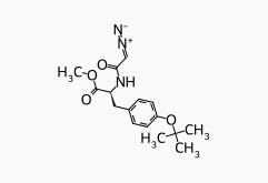 COC(=O)[C@H](Cc1ccc(OC(C)(C)C)cc1)NC(=O)C=[N+]=[N-]